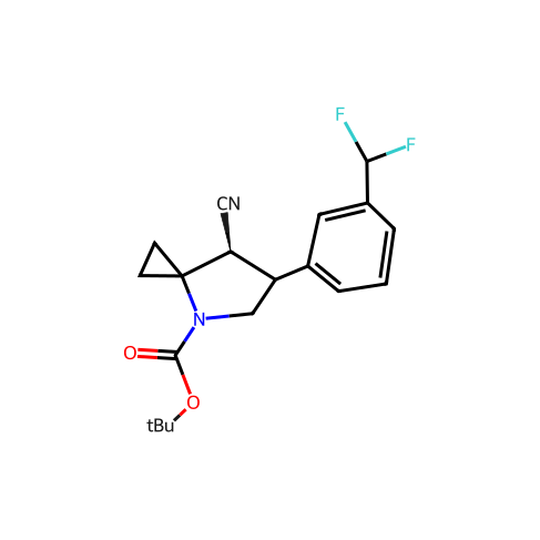 CC(C)(C)OC(=O)N1CC(c2cccc(C(F)F)c2)[C@H](C#N)C12CC2